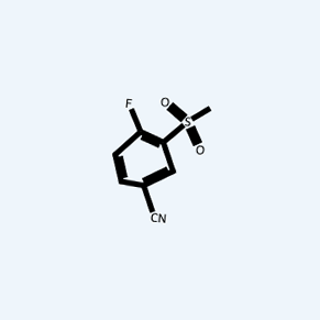 CS(=O)(=O)c1cc(C#N)ccc1F